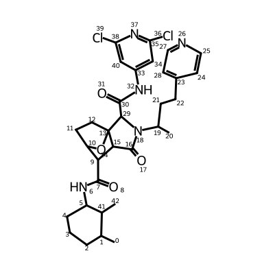 CC1CCCC(NC(=O)C2C3CCC4(O3)C2C(=O)N(C(C)CCc2ccncc2)C4C(=O)Nc2cc(Cl)nc(Cl)c2)C1C